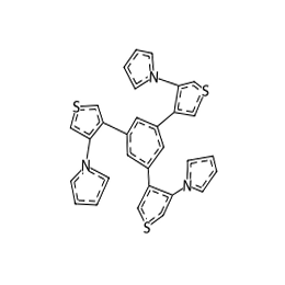 c1ccn(-c2cscc2-c2cc(-c3cscc3-n3cccc3)cc(-c3cscc3-n3cccc3)c2)c1